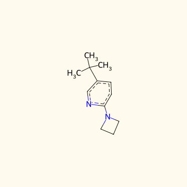 CC(C)(C)c1ccc(N2CCC2)nc1